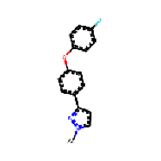 CC(=O)n1ccc(-c2ccc(Oc3ccc(F)cc3)cc2)n1